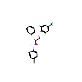 Cc1ccc(NC(=O)C(COc2c(Cl)cc(C(F)(F)F)cc2Cl)Oc2ccccc2)cc1